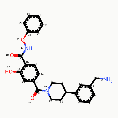 NCc1cccc(C2CCN(C(=O)c3ccc(C(=O)NOc4ccccc4)c(O)c3)CC2)c1